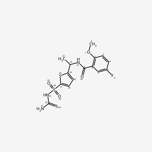 COc1ccc(F)cc1C(=O)NC(C)c1ccc(S(=O)(=O)NC(N)=S)s1